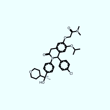 CC(C)Oc1cc2c(cc1OCC(=O)N(C)C)CC(=O)N(c1ccc([C@@](C)(O)C3CCOCC3)cc1)C2c1ccc(Cl)cc1